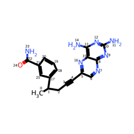 CC(CC#Cc1cnc2nc(N)nc(N)c2n1)c1cccc(C(N)=O)c1